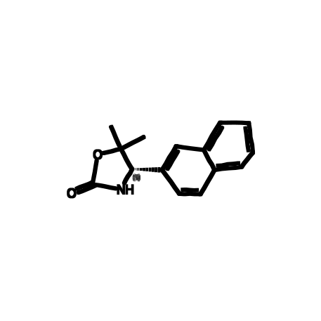 CC1(C)OC(=O)N[C@H]1c1ccc2ccccc2c1